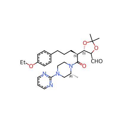 CCOc1ccc(CCC[C@H](C(=O)N2CCN(c3ncccn3)C[C@H]2C)[C@@H]2OC(C)(C)OC2C=O)cc1